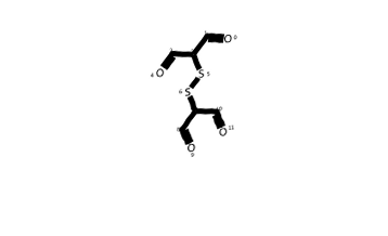 O=CC(C=O)SSC(C=O)C=O